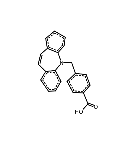 O=C(O)c1ccc(CN2c3ccccc3C=Cc3ccccc32)cc1